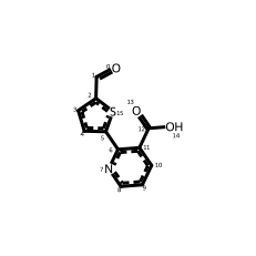 O=Cc1ccc(-c2ncccc2C(=O)O)s1